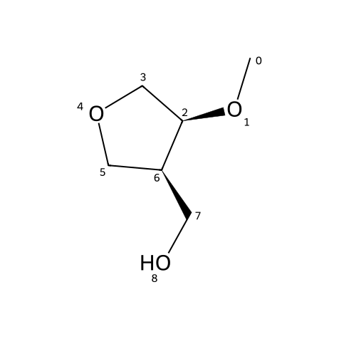 CO[C@@H]1COC[C@@H]1CO